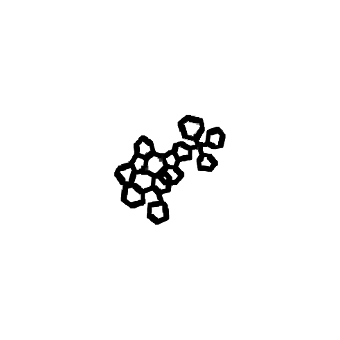 c1ccc(-c2cccc(-n3c4ccccc4c4cccc(-n5c6ccccc6c6cc([Si](c7ccccc7)(c7ccccc7)c7ccccc7)ccc65)c43)c2-c2ccccc2)cc1